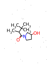 CC(C(=O)N1CCC(O)C1)C(C)(C)C